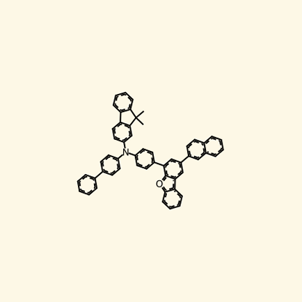 CC1(C)c2ccccc2-c2ccc(N(c3ccc(-c4ccccc4)cc3)c3ccc(-c4cc(-c5ccc6ccccc6c5)cc5c4oc4ccccc45)cc3)cc21